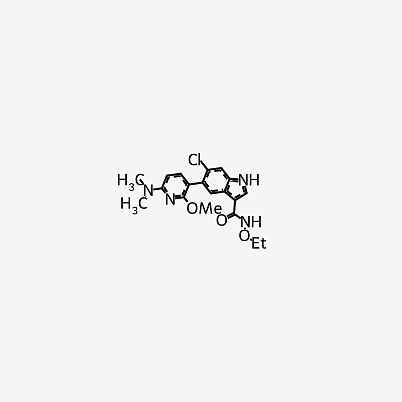 CCONC(=O)c1c[nH]c2cc(Cl)c(-c3ccc(N(C)C)nc3OC)cc12